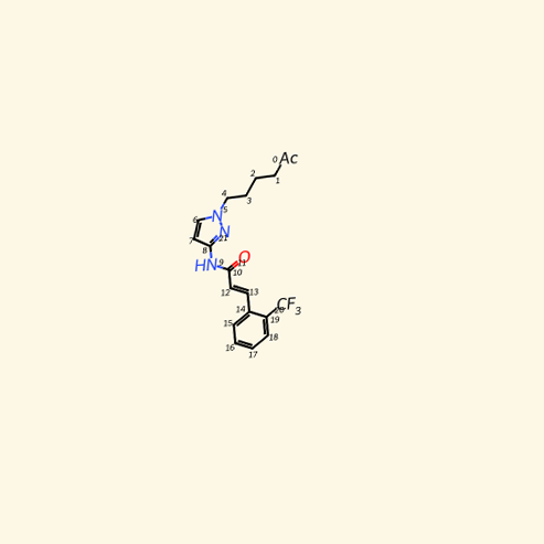 CC(=O)CCCCn1ccc(NC(=O)/C=C/c2ccccc2C(F)(F)F)n1